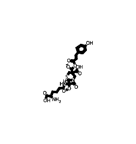 COC(OC(=O)C=Cc1ccc(O)cc1)C1(C(=O)O)CS[C@H]2N(C1)C(=O)C2(NC(=O)CCCC(N)C(=O)O)OC